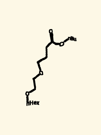 CCCCCCOCCOCCCC(=O)OCCCC